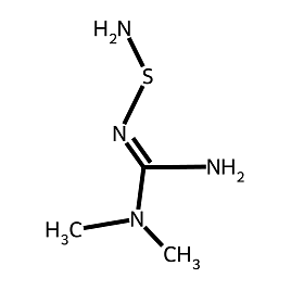 CN(C)C(N)=NSN